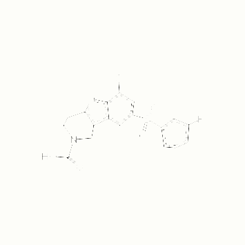 O=C(O)N1CCc2oc3c(Cl)cc(S(=O)(=O)c4cccc(F)c4)cc3c2C1